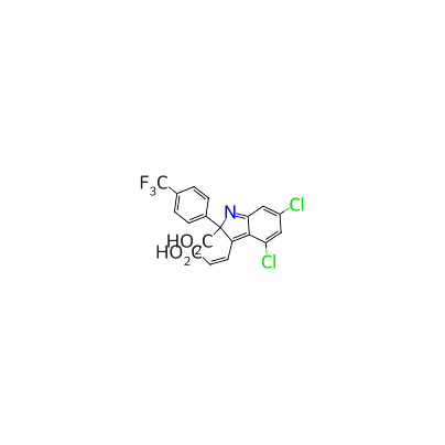 O=C(O)/C=C\C1=c2c(Cl)cc(Cl)cc2=NC1(C(=O)O)c1ccc(C(F)(F)F)cc1